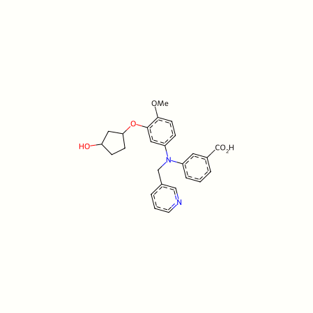 COc1ccc(N(Cc2cccnc2)c2cccc(C(=O)O)c2)cc1OC1CCC(O)C1